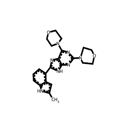 Cc1cc2c(-c3nc4c(N5CCOCC5)nc(N5CCOCC5)nc4[nH]3)cccc2[nH]1